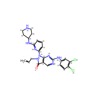 C=CCn1c(=O)c2cnc(Nc3ccc(Cl)c(Cl)c3)nc2n1-c1cccc(NC2CCNCC2)n1